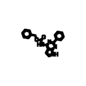 O=C(Nc1nc(-c2ccccc2)nc2[nH]ccc12)OCc1ccccc1